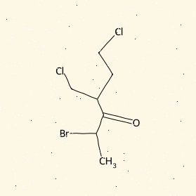 CC(Br)C(=O)C(CCl)CCCl